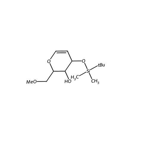 COCC1OC=CC(O[Si](C)(C)C(C)(C)C)C1O